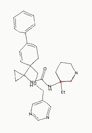 CCC1(NC(=O)NC2(C3(COCc4cncnc4)C=CC(c4ccccc4)=CC3)CC2)CN2CCC1CC2